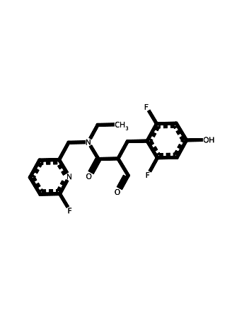 CCN(Cc1cccc(F)n1)C(=O)C(C=O)Cc1c(F)cc(O)cc1F